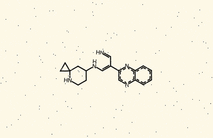 N=C/C(=C\NC1CCNC2(CC2)C1)c1cnc2ccccc2n1